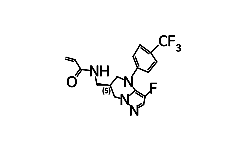 C=CC(=O)NC[C@H]1CN(c2ccc(C(F)(F)F)cc2)c2c(F)cnn2C1